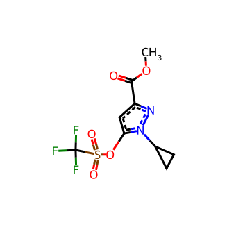 COC(=O)c1cc(OS(=O)(=O)C(F)(F)F)n(C2CC2)n1